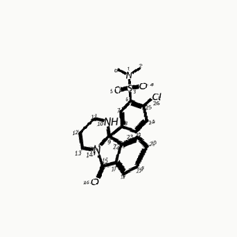 CN(C)S(=O)(=O)c1cc(C23NCCCN2C(=O)c2ccccc23)ccc1Cl